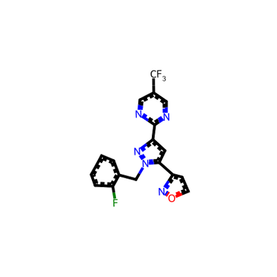 Fc1ccccc1Cn1nc(-c2ncc(C(F)(F)F)cn2)cc1-c1ccon1